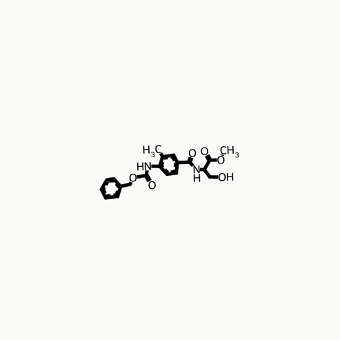 COC(=O)C(CO)NC(=O)c1ccc(NC(=O)OCc2ccccc2)c(C)c1